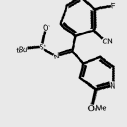 COc1cc(C(=N[S+]([O-])C(C)(C)C)c2cccc(F)c2C#N)ccn1